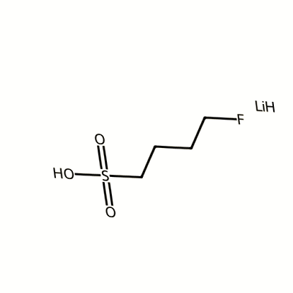 O=S(=O)(O)CCCCF.[LiH]